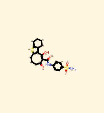 NS(=O)(=O)c1ccc(NC(=O)/C2=C(\O)c3c(sc4c3CCCC4)CCCC2=O)cc1